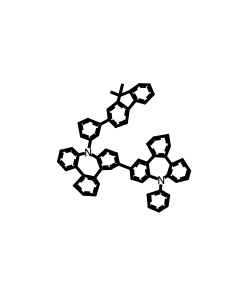 CC1(C)c2ccccc2-c2ccc(-c3cccc(N4c5ccccc5-c5ccccc5-c5cc(-c6ccc7c(c6)-c6ccccc6-c6ccccc6N7c6ccccc6)ccc54)c3)cc21